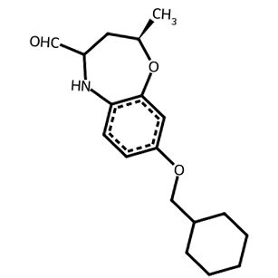 C[C@@H]1CC(C=O)Nc2ccc(OCC3CCCCC3)cc2O1